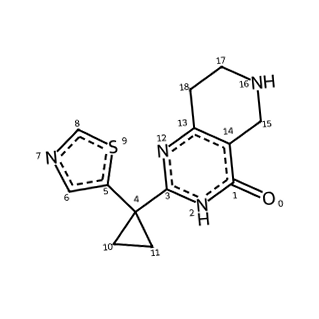 O=c1[nH]c(C2(c3cncs3)CC2)nc2c1CNCC2